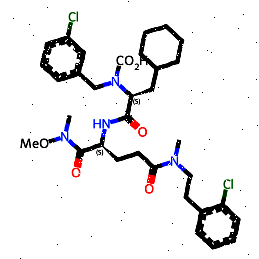 CON(C)C(=O)[C@H](CCC(=O)N(C)CCc1ccccc1Cl)NC(=O)[C@H](CC1CCCCC1)N(Cc1cccc(Cl)c1)C(=O)O